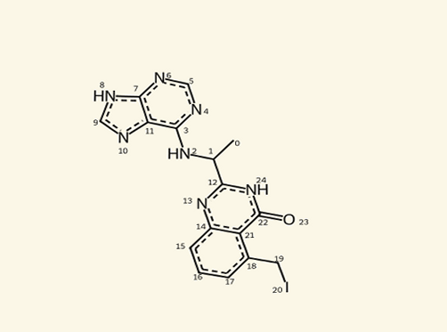 CC(Nc1ncnc2[nH]cnc12)c1nc2cccc(CI)c2c(=O)[nH]1